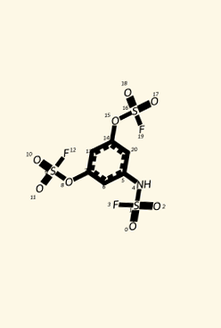 O=S(=O)(F)Nc1cc(OS(=O)(=O)F)cc(OS(=O)(=O)F)c1